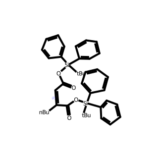 CCCC/C(=C/C(=O)O[Si](c1ccccc1)(c1ccccc1)C(C)(C)C)C(=O)O[Si](c1ccccc1)(c1ccccc1)C(C)(C)C